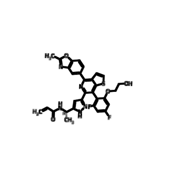 C=CC(=O)N[C@@H](C)c1cc(-c2nc(-c3ccc4oc(C)nc4c3)c3ccsc3c2-c2c(F)cc(F)cc2OCCO)n[nH]1